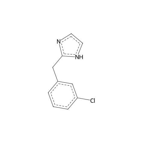 Clc1cccc(Cc2ncc[nH]2)c1